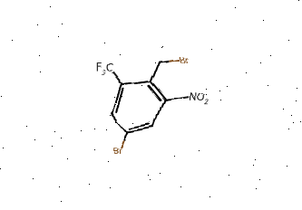 O=[N+]([O-])c1cc(Br)cc(C(F)(F)F)c1CBr